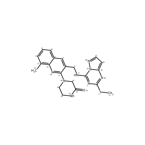 CSc1nc(NCc2cc3cccc(C)c3nc2N2CCNC(=O)C2)n2nccc2n1